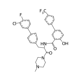 CN1CCN(C(=O)C(Cc2ccc(-c3ccc(F)c(Cl)c3)cc2)NC(=O)c2cc(-c3ccc(C(F)(F)F)cc3)ccc2O)CC1